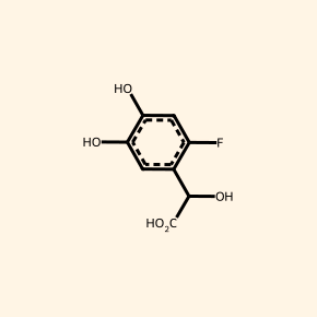 O=C(O)C(O)c1cc(O)c(O)cc1F